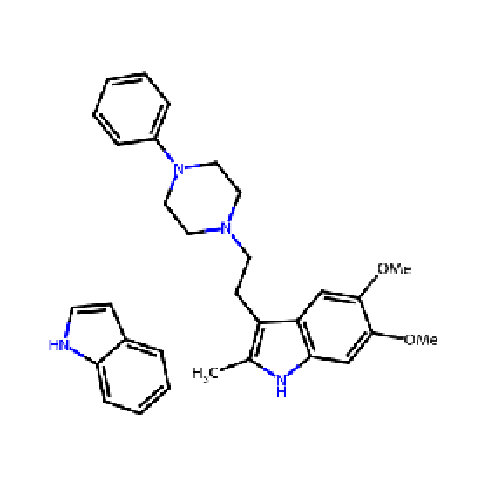 COc1cc2[nH]c(C)c(CCN3CCN(c4ccccc4)CC3)c2cc1OC.c1ccc2[nH]ccc2c1